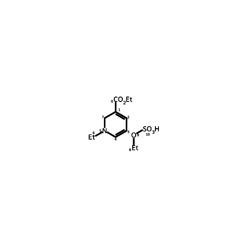 CCOC(=O)C1=CC=CN(CC)C1.CCOS(=O)(=O)O